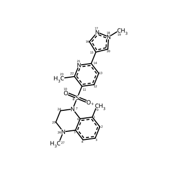 Cc1cccc2c1N(S(=O)(=O)c1ccc(-c3cnn(C)c3)nc1C)CCN2C